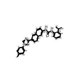 Cc1ccc(-n2cnc(-c3ccc4cc(NC(=O)Nc5ccccc5C(C)C)ccc4c3)n2)cc1